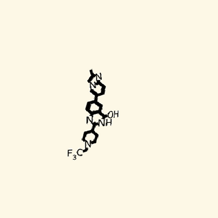 Cc1cn2cc(-c3ccc4c(c3)C(O)NC(C3CCN(CC(F)(F)F)CC3)=N4)ccc2n1